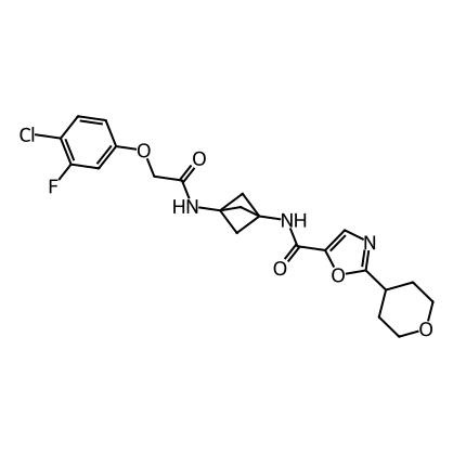 O=C(COc1ccc(Cl)c(F)c1)NC12CC(NC(=O)c3cnc(C4CCOCC4)o3)(C1)C2